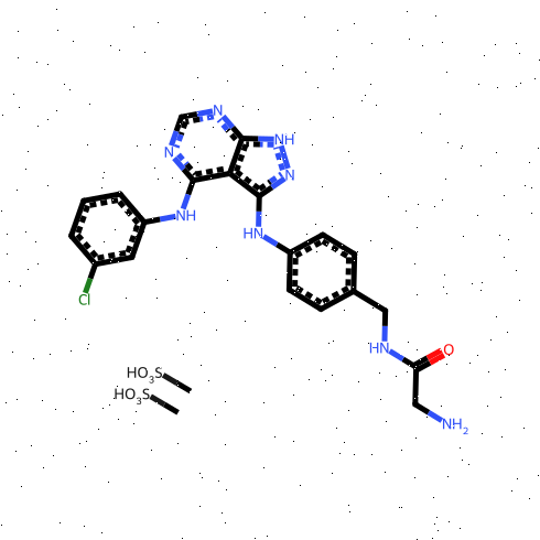 CS(=O)(=O)O.CS(=O)(=O)O.NCC(=O)NCc1ccc(Nc2n[nH]c3ncnc(Nc4cccc(Cl)c4)c23)cc1